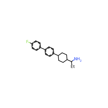 CCC(N)C1CCC(c2ccc(-c3ccc(F)cc3)cc2)CC1